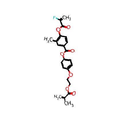 C=C(C)C(=O)OCCOc1ccc(OC(=O)c2ccc(OC(=O)C(=C)F)c(C)c2)cc1